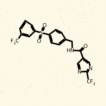 O=C(NCc1ccc(S(=O)(=O)c2cccc(C(F)(F)F)c2)cc1)c1cnc(C(F)(F)F)nc1